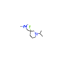 CC(C)N1CCCC(F)(CN(C)C)C1